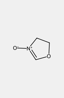 [O-][N+]1=COCC1